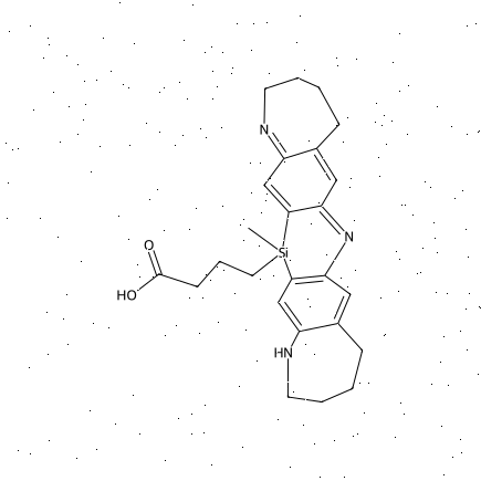 C[Si]1(CCCC(=O)O)c2cc3c(cc2N=c2cc4c(cc21)=NCCCC4)CCCCN3